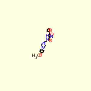 COc1ccc(N2CCN(CCNC(=O)c3cc(-c4ccco4)on3)CC2)cc1